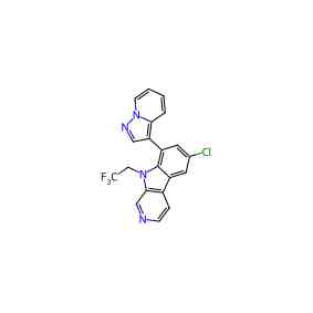 FC(F)(F)Cn1c2cnccc2c2cc(Cl)cc(-c3cnn4ccccc34)c21